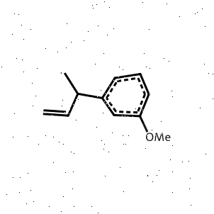 [CH2]C(C=C)c1cccc(OC)c1